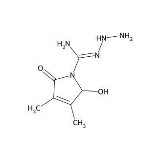 CC1=C(C)C(O)N(/C(N)=N/NN)C1=O